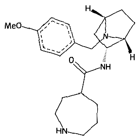 COc1ccc(CN2[C@H]3CC[C@@H]2[C@H](NC(=O)C2CCCNCC2)C3)cc1